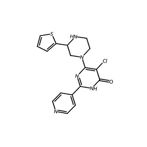 O=c1[nH]c(-c2ccncc2)nc(N2CCNC(c3cccs3)C2)c1Cl